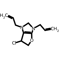 C=CCN1CN(CC=C)C2=C1OCC2Cl